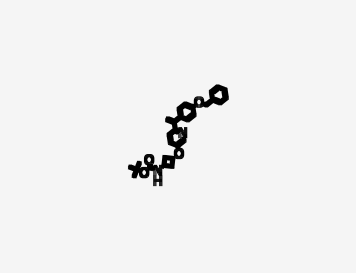 C=C(c1ccc(OCc2ccccc2)cc1)c1ccc(O[C@H]2C[C@H](NC(=O)OC(C)(C)C)C2)cn1